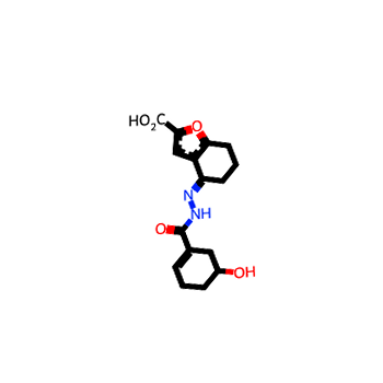 O=C(N/N=C1\CCCc2oc(C(=O)O)cc21)C1=CCCC(O)C1